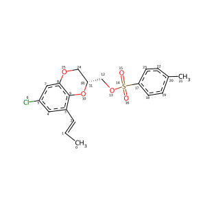 CC=Cc1cc(Cl)cc2c1O[C@@H](COS(=O)(=O)c1ccc(C)cc1)CO2